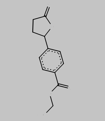 CCOC(=O)c1ccc(C2CCC(=O)O2)cc1